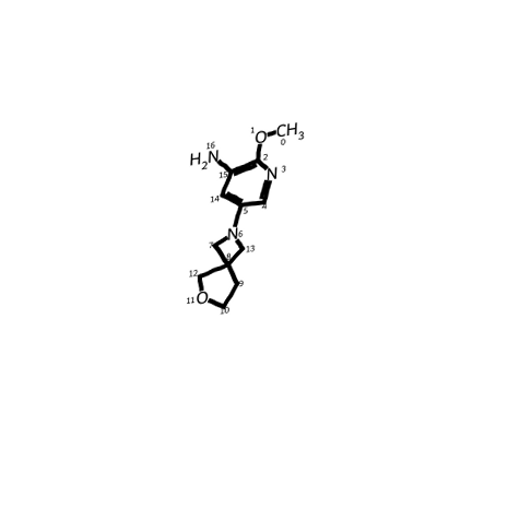 COc1ncc(N2CC3(CCOC3)C2)cc1N